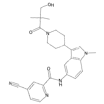 Cn1cc(C2CCN(C(=O)C(C)(C)CO)CC2)c2cc(NC(=O)c3cc(C#N)ccn3)ccc21